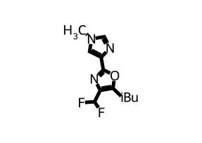 CCC(C)c1oc(-c2cn(C)cn2)nc1C(F)F